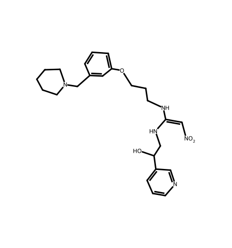 O=[N+]([O-])C=C(NCCCOc1cccc(CN2CCCCC2)c1)NCC(O)c1cccnc1